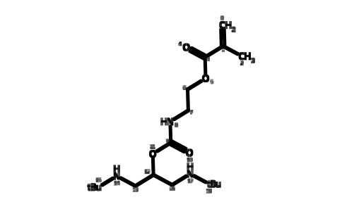 C=C(C)C(=O)OCCNC(=O)OC(CNC(C)(C)C)CNC(C)(C)C